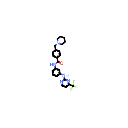 O=C(Nc1cccc(Nc2nccc(C(F)(F)F)n2)c1)c1ccc(CN2CCCCC2)cc1